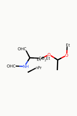 CCCC.CCOC(=O)C(C=O)NC=O.CCOC(C)OCC